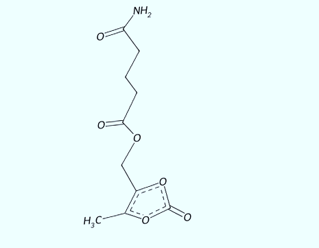 Cc1oc(=O)oc1COC(=O)CCCC(N)=O